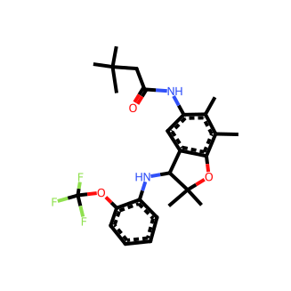 Cc1c(NC(=O)CC(C)(C)C)cc2c(c1C)OC(C)(C)C2Nc1ccccc1OC(F)(F)F